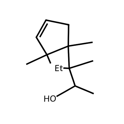 CCC(C)(C(C)O)C1(C)CC=CC1(C)C